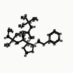 C=C(N[C@@]1(C(=O)OC(C)(C)OC)COC[C@H]1OCc1ccccc1)OC(C)(C)C